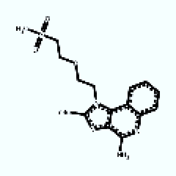 CCCCc1nc2c(N)nc3ccccc3c2n1CCOCCS(C)(=O)=O